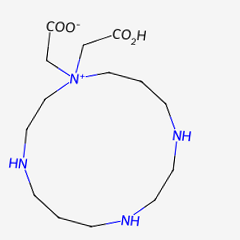 O=C([O-])C[N+]1(CC(=O)O)CCCNCCNCCCNCC1